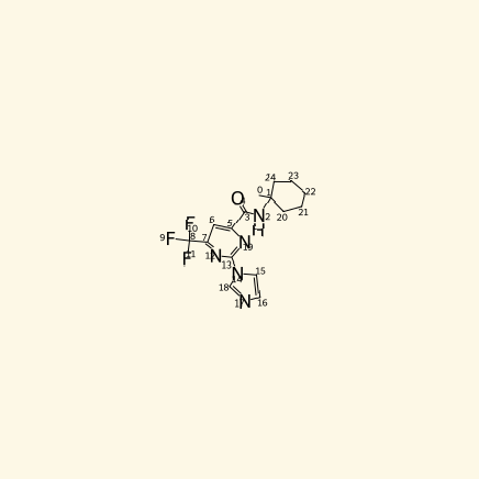 CC1(NC(=O)c2cc(C(F)(F)F)nc(-n3ccnc3)n2)CCCCC1